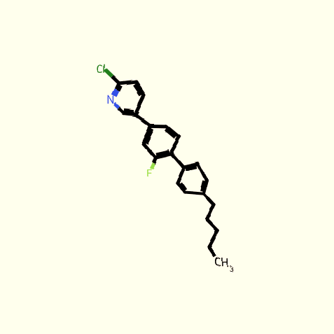 CCCCCc1ccc(-c2ccc(-c3ccc(Cl)nc3)cc2F)cc1